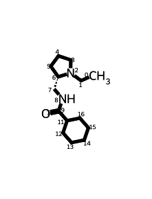 CCN1CCC[C@H]1CNC(=O)C1CCCCC1